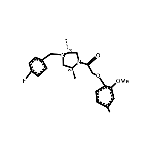 COc1cc(C)ccc1OCC(=O)N1C[C@@H](C)N(Cc2ccc(F)cc2)C[C@@H]1C